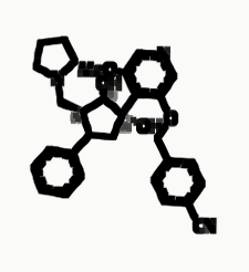 COc1cncc(OCc2ccc(C#N)cc2)c1[C@@]1(O)CC(c2ccccc2)[C@@H](CN2CCCC2)[C@H]1O